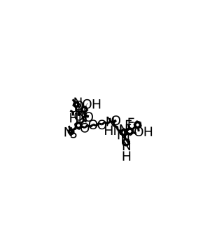 Cc1cc([C@@H](C(=O)N2C[C@H](O)C[C@H]2C(=O)NCc2ccc(-c3scnc3C)cc2OCCOCCOCCN(C)C(=O)CCNc2nc(N3CCNCC3)c3cc(C)c(-c4c(O)cccc4F)c(F)c3n2)C(C)C)on1